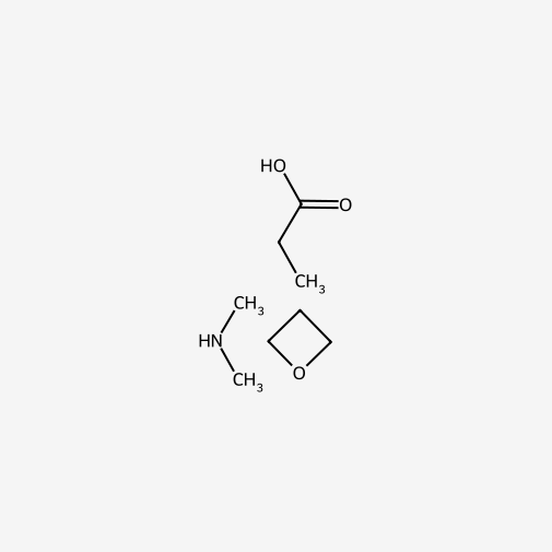 C1COC1.CCC(=O)O.CNC